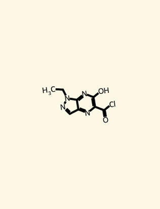 CCn1ncc2nc(C(=O)Cl)c(O)nc21